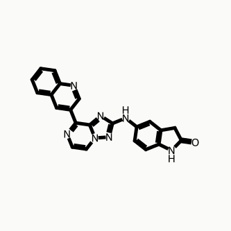 O=C1Cc2cc(Nc3nc4c(-c5cnc6ccccc6c5)nccn4n3)ccc2N1